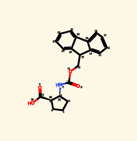 O=C(N[C@@H]1CCC[C@H]1C(=O)O)OCC1c2ccccc2-c2ccccc21